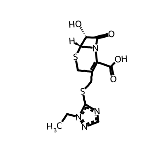 CCn1ncnc1SCC1=C(C(=O)O)N2C(=O)[C@@H](O)[C@H]2SC1